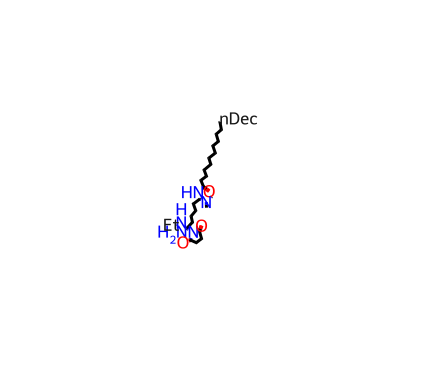 CCCCCCCCCCCCCCCCCCCCCC(=O)NC(CCCCC(N)(NCC)N1C(=O)CCC1=O)N(C)C